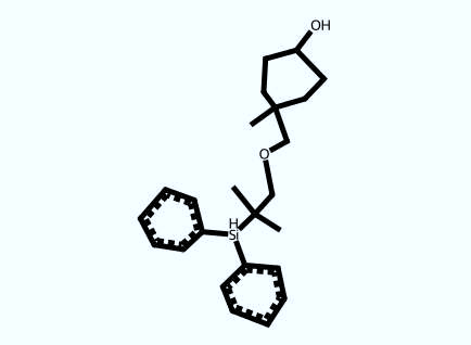 CC1(COCC(C)(C)[SiH](c2ccccc2)c2ccccc2)CCC(O)CC1